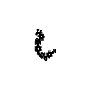 N#Cc1ccc(C(=O)N2CCN(Cc3ccc(-c4noc(-c5cccc(C(F)(F)F)c5)n4)cc3)CC2)cc1